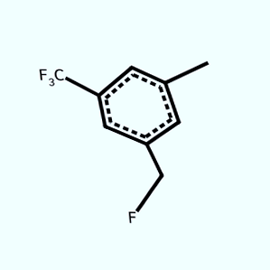 Cc1cc(CF)cc(C(F)(F)F)c1